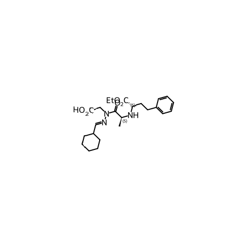 CCOC(=O)[C@H](CCc1ccccc1)N[C@@H](C)C(=O)N(CC(=O)O)N=CC1CCCCC1